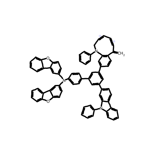 C=C1/C=C\C=C/CN(c2ccccc2)c2cc(-c3cc(-c4ccc(N(c5ccc6oc7ccccc7c6c5)c5ccc6oc7ccccc7c6c5)cc4)cc(-c4ccc5c6ccccc6n(-c6ccccc6)c5c4)c3)ccc21